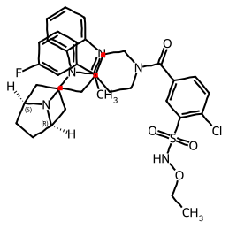 CCONS(=O)(=O)c1cc(C(=O)N2CCC(CCN3[C@@H]4CC[C@H]3CC(n3c(C)nc5ccccc53)C4)(c3cccc(F)c3)CC2)ccc1Cl